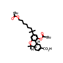 CC(C)(C)C(=O)OCCCCCCC(C)(C)c1cc(OC(=O)C(C)(C)C)c2c(c1)OC(C)(C)[C@@H]1CC=C(C(=O)O)C[C@@H]21